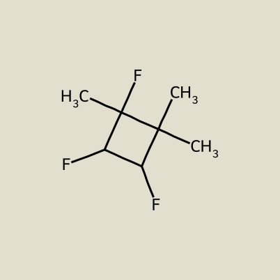 CC1(C)C(F)C(F)C1(C)F